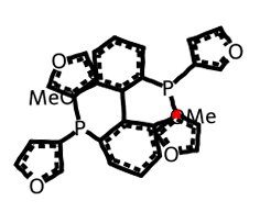 COc1cccc(P(c2ccoc2)c2ccoc2)c1-c1c(OC)cccc1P(c1ccoc1)c1ccoc1